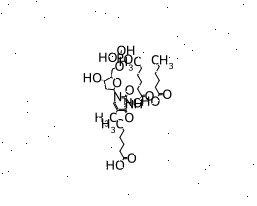 CCCCCC(=O)O.CCCCCC(=O)O.CCCCCC(=O)O.Cc1cn([C@H]2C[C@H](O)[C@@H](COP(=O)(O)O)O2)c(=O)[nH]c1=O